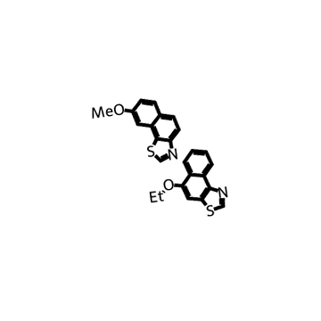 CCOc1cc2scnc2c2ccccc12.COc1ccc2ccc3ncsc3c2c1